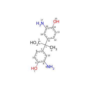 CC(C(=O)O)(c1ccc(O)c(N)c1)c1ccc(O)c(N)c1